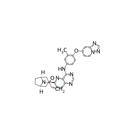 C=CC(=O)N1[C@@H]2CC[C@H]1C[C@@H](c1ccc3ncnc(Nc4ccc(Oc5ccn6ncnc6c5)c(C)c4)c3n1)C2